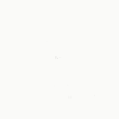 CCOP(C)(=O)CCNCC(=O)c1ccccc1